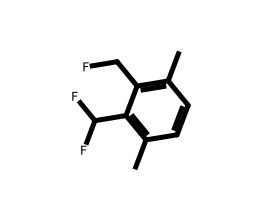 Cc1ccc(C)c(C(F)F)c1CF